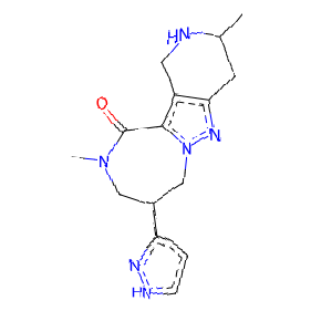 CC1Cc2nn3c(c2CN1)C(=O)N(C)CC(c1cc[nH]n1)C3